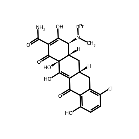 CCCN(C)[C@@H]1C(O)=C(C(N)=O)C(=O)[C@@]2(O)C(O)=C3C(=O)c4c(O)ccc(Cl)c4C[C@H]3C[C@@H]12